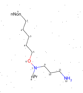 CCCCCCCCCCCCCCON(CCC)CCCN